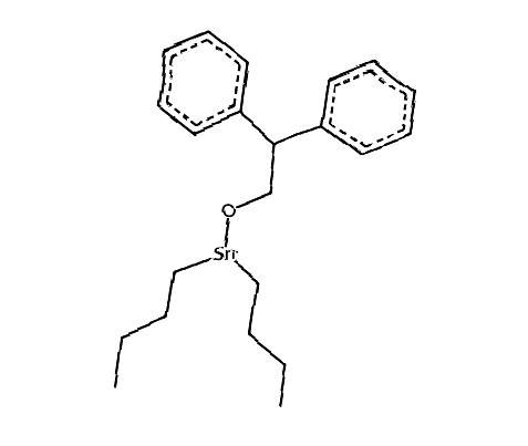 CCC[CH2][Sn]([CH2]CCC)[O]CC(c1ccccc1)c1ccccc1